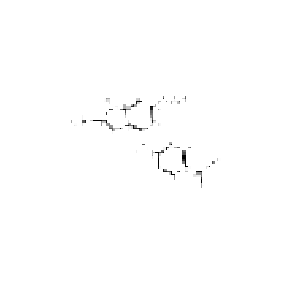 O=Cc1cc2c(Oc3ccc(C(F)F)cc3)cc(C(=O)O)cc2o1